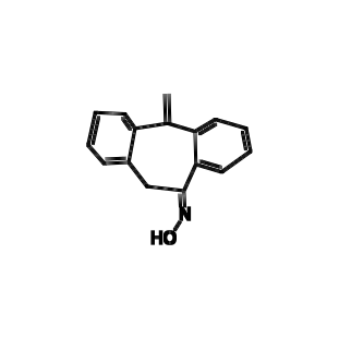 C=C1c2ccccc2CC(=NO)c2ccccc21